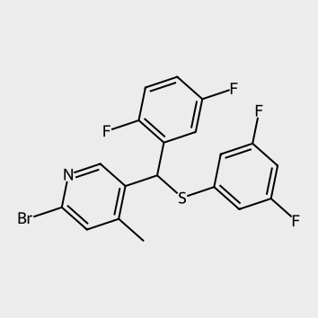 Cc1cc(Br)ncc1C(Sc1cc(F)cc(F)c1)c1cc(F)ccc1F